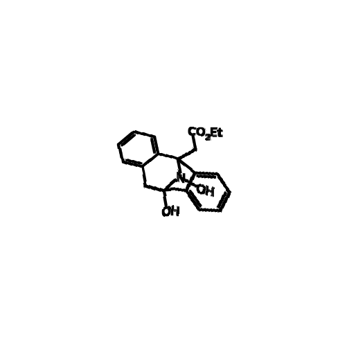 CCOC(=O)CC12c3ccccc3CC(O)(c3ccccc31)N2O